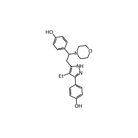 CCc1c(-c2ccc(O)cc2)n[nH]c1CC(c1ccc(O)cc1)N1CCOCC1